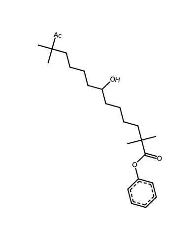 CC(=O)C(C)(C)CCCCC(O)CCCCC(C)(C)C(=O)Oc1ccccc1